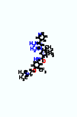 C=C(C)/C(=C\C(=C/C)C(=O)Nc1ccc(OCCN(C)C)c(C(F)(F)F)c1)N(N)/C=C(\N)c1cccnc1